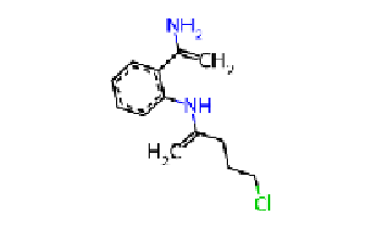 C=C(CCCCl)Nc1ccccc1C(=C)N